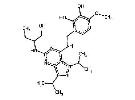 CCC(CO)Nc1nc(NCc2ccc(OC)c(O)c2O)c2c(n1)c(C(C)C)nn2C(C)C